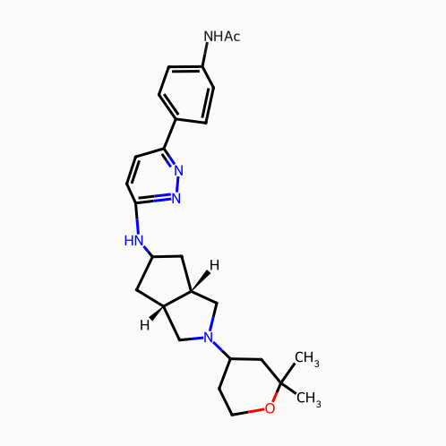 CC(=O)Nc1ccc(-c2ccc(NC3C[C@@H]4CN(C5CCOC(C)(C)C5)C[C@@H]4C3)nn2)cc1